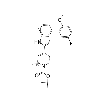 COc1ccc(F)cc1-c1ccnc2[nH]c(C3=C[C@@H](C)N(C(=O)OC(C)(C)C)CC3)cc12